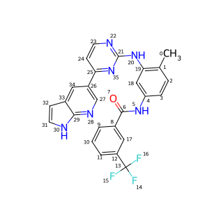 Cc1ccc(NC(=O)c2cccc(C(F)(F)F)c2)cc1Nc1nccc(-c2cnc3[nH]ccc3c2)n1